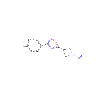 Cc1ccc(-c2noc(C3CN(C(=N)N)C3)n2)cc1